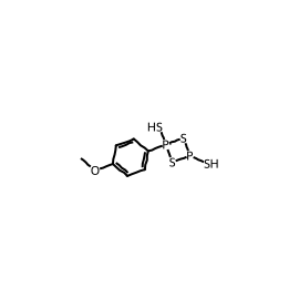 COc1ccc([P]2(S)SP(S)S2)cc1